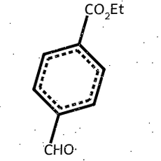 CCOC(=O)c1ccc([C]=O)cc1